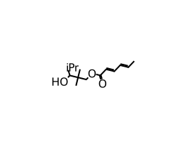 C/C=C/C=C/C(=O)OCC(C)(C)C(O)C(C)C